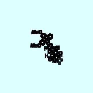 COc1ccc(C(OC[C@H]2O[C@@H](n3cnc4c(=O)[nH]c(C(C)(C)C(N)=O)nc43)[C@H](O)[C@@H]2F)(c2ccccc2)c2ccc(OC)cc2)cc1